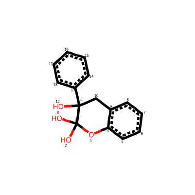 OC1(O)Oc2ccccc2CC1(O)c1ccccc1